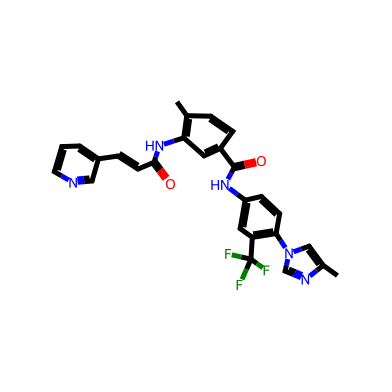 Cc1cn(-c2ccc(NC(=O)c3ccc(C)c(NC(=O)/C=C/c4cccnc4)c3)cc2C(F)(F)F)cn1